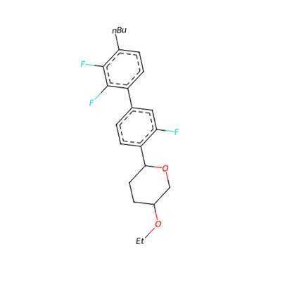 CCCCc1ccc(-c2ccc(C3CCC(OCC)CO3)c(F)c2)c(F)c1F